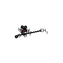 CCCCCCCCCCCCCCCCCC(=O)OCC(CCOCc1ccccc1)COC(=O)[C@@H](NC(c1ccccc1)(c1ccccc1)c1ccccc1)C(C)C